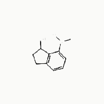 C[S+]([O-])c1cccc2c1C(C(C)(C)C)CC2